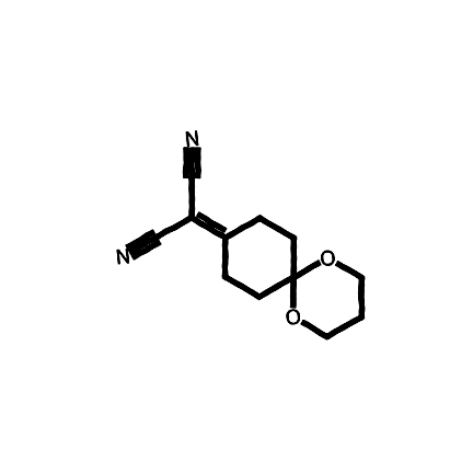 N#CC(C#N)=C1CCC2(CC1)OCCCO2